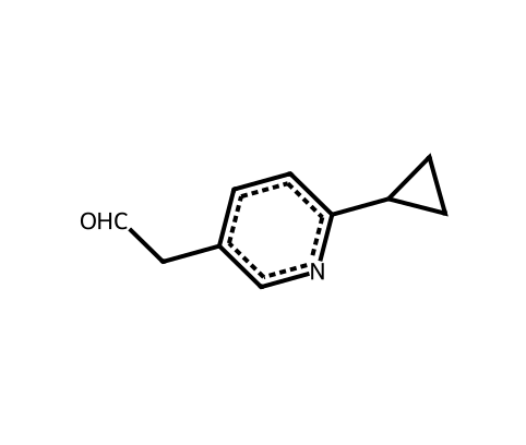 O=CCc1ccc(C2CC2)nc1